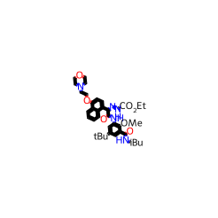 CCOC(=O)N/N=C(\C(=O)Nc1cc(C(C)(C)C)cc(C(=O)NC(C)CC)c1OC)c1ccc(OCCN2CCOCC2)c2ccccc12